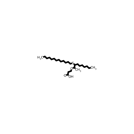 CCCCCCCCCCCCCSC(CCCCCCC)C(C)OCCC([O])O